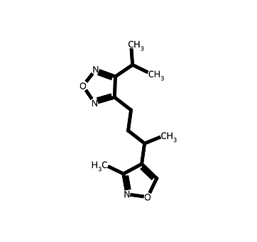 Cc1nocc1C(C)CCc1nonc1C(C)C